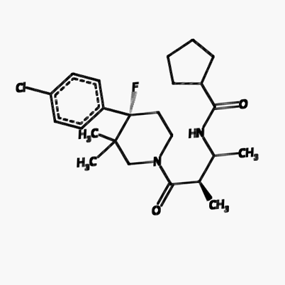 CC(NC(=O)C1CCCC1)[C@@H](C)C(=O)N1CC[C@](F)(c2ccc(Cl)cc2)C(C)(C)C1